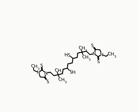 CCN1CC(=S)N(CCC(C)(C)CCC(S)CCC(S)CCC(C)(C)CCN2C(=S)CN(CC)C2=S)C1=S